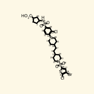 O=C(O)C1CCC(NS(=O)(=O)c2ccc(N3CCC(CCC4CCN(S(=O)(=O)c5cc(Br)c(Cl)s5)CC4)CC3)c(Cl)c2)C1